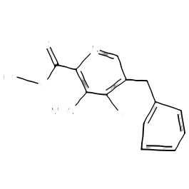 CNc1c(C(=O)OC(C)C)ncc(Cc2ccccc2)c1Br